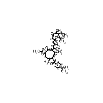 C=C1CCC(OC(C)=O)CC(=O)OC(/C(C)=C/C=C/C(C)(O)CC2OC2C(C)C(CC)OC(C)=O)C(C)/C=C/C1OC(=O)N1CCN(C(C)C)CC1